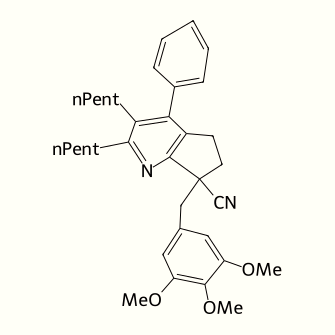 CCCCCc1nc2c(c(-c3ccccc3)c1CCCCC)CCC2(C#N)Cc1cc(OC)c(OC)c(OC)c1